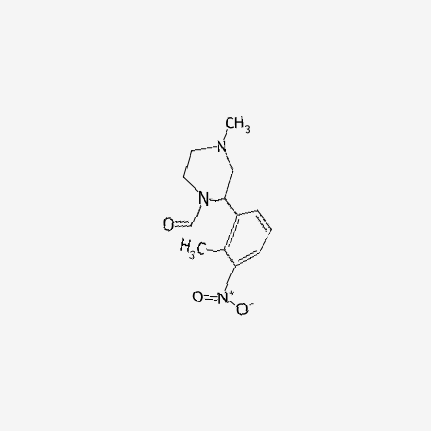 Cc1c(C2CN(C)CCN2C=O)cccc1[N+](=O)[O-]